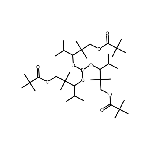 CC(C)C(OB(OC(C(C)C)C(C)(C)COC(=O)C(C)(C)C)OC(C(C)C)C(C)(C)COC(=O)C(C)(C)C)C(C)(C)COC(=O)C(C)(C)C